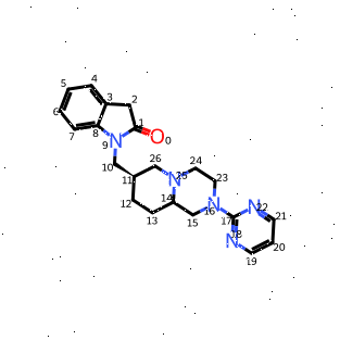 O=C1Cc2ccccc2N1C[C@@H]1CCC2CN(c3ncccn3)CCN2C1